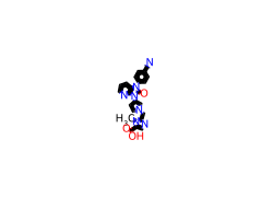 Cn1c(C(=O)O)cnc1CN1CCC(n2c(=O)n(-c3ccc(C#N)cc3)c3cccnc32)C1